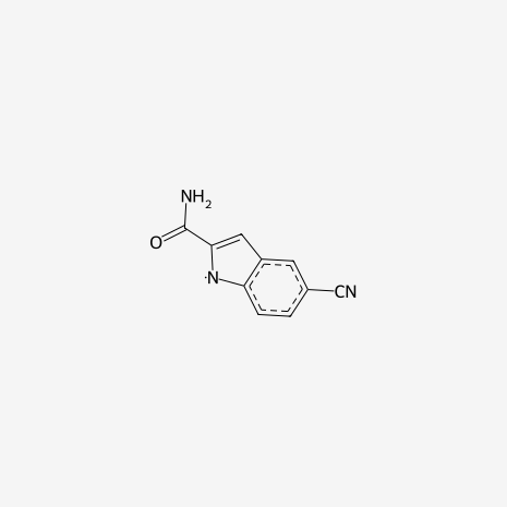 N#Cc1ccc2c(c1)C=C(C(N)=O)[N]2